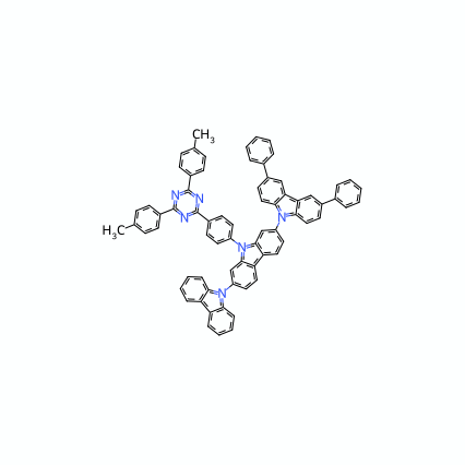 Cc1ccc(-c2nc(-c3ccc(C)cc3)nc(-c3ccc(-n4c5cc(-n6c7ccccc7c7ccccc76)ccc5c5ccc(-n6c7ccc(-c8ccccc8)cc7c7cc(-c8ccccc8)ccc76)cc54)cc3)n2)cc1